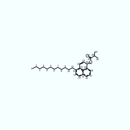 CCCCCCCCCCCCc1ccc2cccc3c2c1C=CC3OC(=O)C(C)C